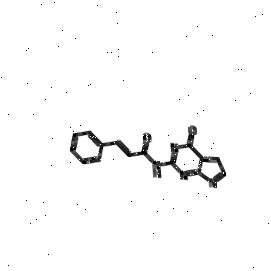 O=C(/C=C/c1ccccc1)NC1=NC(=O)C2=CC=NC2=N1